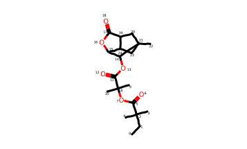 CCC(C)(C)C(=O)OC(C)(C)C(=O)OC1C2OC(=O)C3CC1(C)CC32